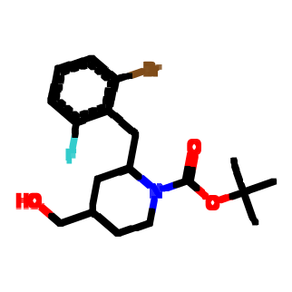 CC(C)(C)OC(=O)N1CCC(CO)CC1Cc1c(F)cccc1Br